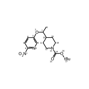 CC(Oc1ccc([N+](=O)[O-])nc1)C1CCN(C(=O)OC(C)(C)C)CC1